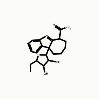 CCC1OC(C23CCCCC(C(N)=O)C2=Nc2ccccc23)C(O)C1O